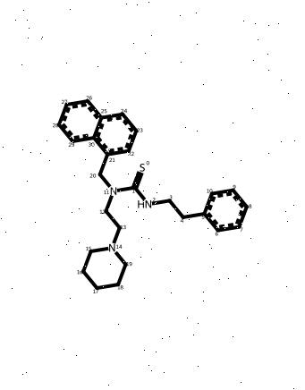 S=C(NCCc1ccccc1)N(CCN1CCCCC1)Cc1cccc2ccccc12